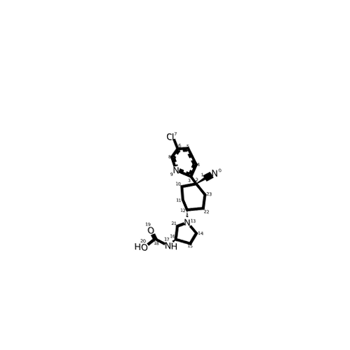 N#C[C@]1(c2ccc(Cl)cn2)CC[C@@H](N2CC[C@H](NC(=O)O)C2)CC1